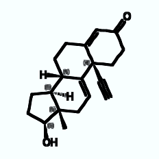 C#C[C@]12CCC(=O)C=C1CC[C@@H]1C2=CC[C@]2(C)[C@@H](O)CC[C@@H]12